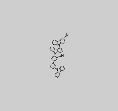 N#Cc1ccc2c(c1)c1ccccc1n2-c1cccc2c1c1ccccc1n2-c1ccc(-c2cccc(-n3c4ccccc4c4ccccc43)c2)cc1C#N